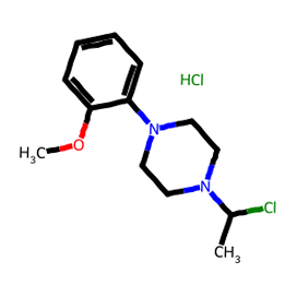 COc1ccccc1N1CCN(C(C)Cl)CC1.Cl